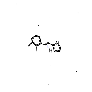 Cc1cccc(/C=C/c2ncc[nH]2)c1C